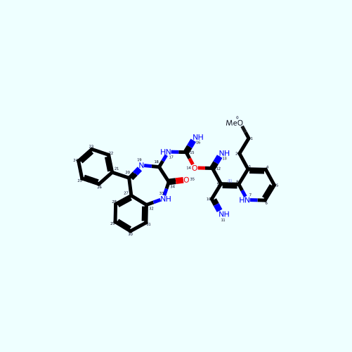 COCCC1=CC=CN/C1=C(\C=N)C(=N)OC(=N)NC1N=C(c2ccccc2)c2ccccc2NC1=O